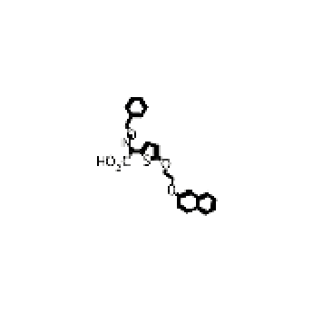 O=C(O)/C(=N/OCc1ccccc1)c1ccc(OCCOc2ccc3ccccc3c2)s1